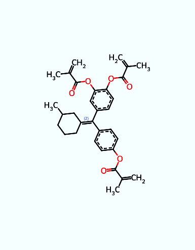 C=C(C)C(=O)Oc1ccc(/C(=C2\CCCC(C)C2)c2ccc(OC(=O)C(=C)C)c(OC(=O)C(=C)C)c2)cc1